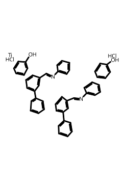 C(=Nc1ccccc1)c1cccc(-c2ccccc2)c1.C(=Nc1ccccc1)c1cccc(-c2ccccc2)c1.Cl.Cl.Oc1ccccc1.Oc1ccccc1.[Ti]